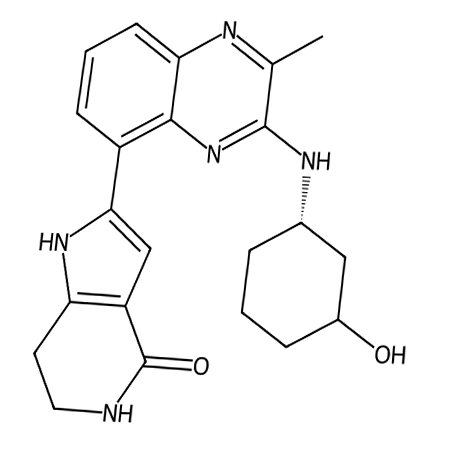 Cc1nc2cccc(-c3cc4c([nH]3)CCNC4=O)c2nc1N[C@H]1CCCC(O)C1